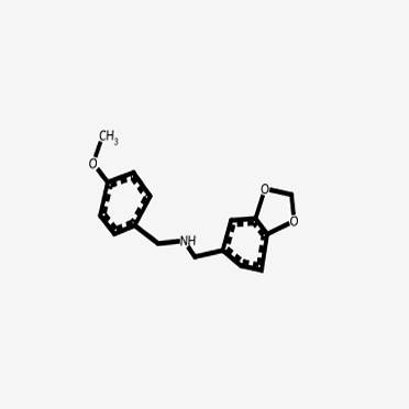 COc1ccc(CNCc2ccc3c(c2)OCO3)cc1